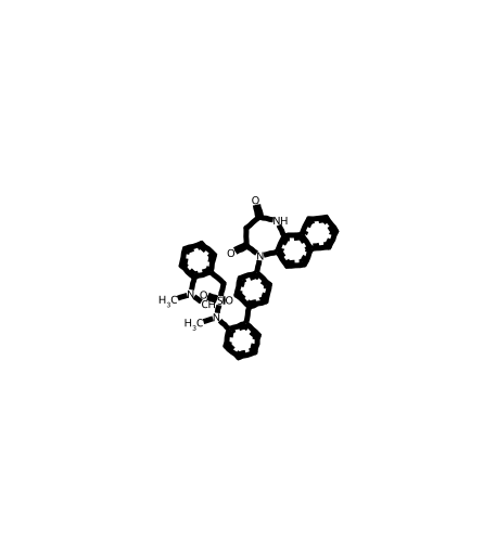 CN(C)c1ccccc1CS(=O)(=O)N(C)c1ccccc1-c1ccc(N2C(=O)CC(=O)Nc3c2ccc2ccccc32)cc1